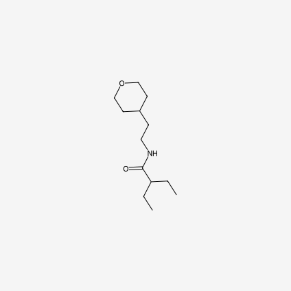 CCC(CC)C(=O)NCCC1CCOCC1